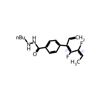 C=C/C(=C(F)\C(F)=C/C)c1ccc(C(=O)NNCCCC)cc1